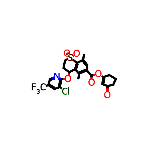 Cc1cc(C(=O)OC2=CC(=O)CCC2)c(C)c2c1S(=O)(=O)CCC2Oc1ncc(C(F)(F)F)cc1Cl